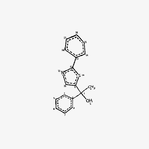 CC(O)(c1ccccc1)c1cnc(-c2ccccc2)s1